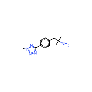 Cn1nnc(-c2ccc(CC(C)(C)N)cc2)n1